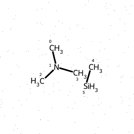 CN(C)C.C[SiH3]